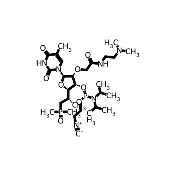 [C-]#[N+]CCOP(O[C@H]1[C@@H](OCC(=O)NCCN(C)C)[C@H](n2cc(C)c(=O)[nH]c2=O)O[C@@H]1[C@H](C)CP(C)(C)=O)N(C(C)C)C(C)C